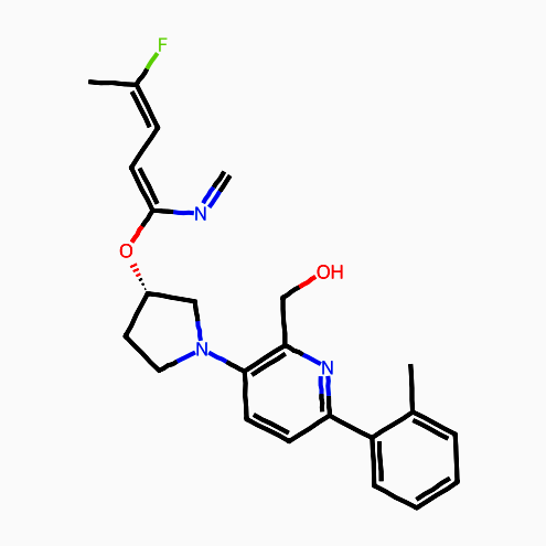 C=N/C(=C\C=C(/C)F)O[C@H]1CCN(c2ccc(-c3ccccc3C)nc2CO)C1